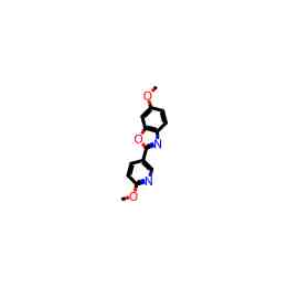 COc1ccc2nc(-c3ccc(OC)nc3)oc2c1